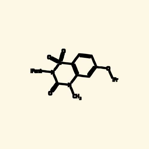 CCCC(C)N1C(=O)N(C)c2cc(OC(C)C)ccc2S1(=O)=O